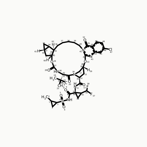 CC1CC1S(=O)(=O)NC(=O)[C@@]1(NC(=O)[C@@H]2C[C@@H]3CN2C(=O)[C@H](C(C)(C)C)NC(=O)O[C@@H]2C[C@@H]4CC4[C@H]2CCCCCn2c(nc4cc(Cl)ccc4c2=O)O3)CC1C(F)F